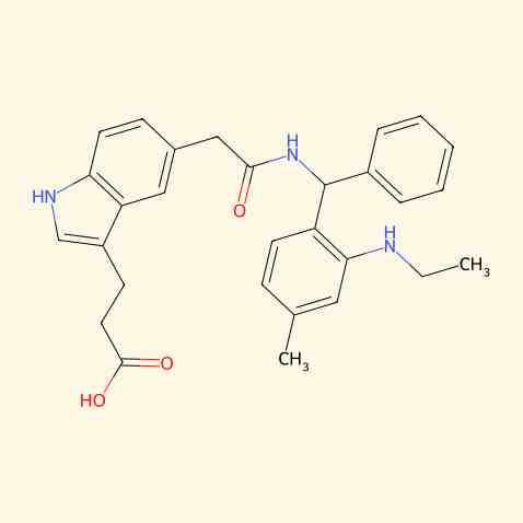 CCNc1cc(C)ccc1C(NC(=O)Cc1ccc2[nH]cc(CCC(=O)O)c2c1)c1ccccc1